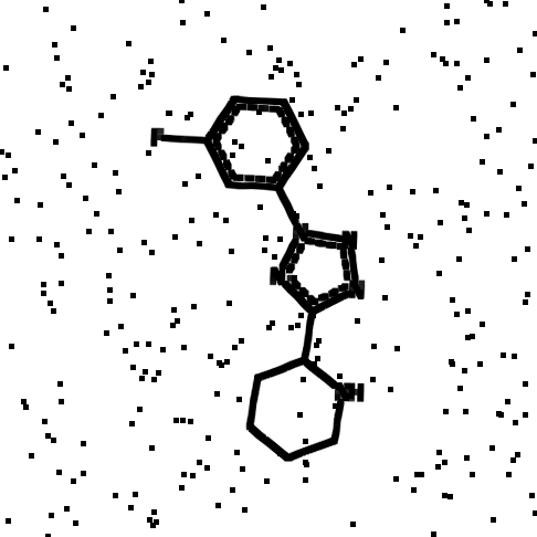 Fc1cccc(-n2nnc(C3CCCCN3)n2)c1